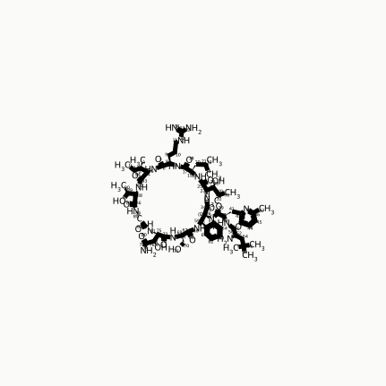 CC[C@H](C)[C@@H]1NC(=O)[C@@H](CCCNC(=N)N)NC(=O)[C@H](CC(C)C)NC(=O)[C@H]([C@H](O)C(C)C)NC(=O)[C@@H](NC(=O)[C@H](Cc2cccc(C)n2)NC(=O)[C@H](N)CC(C)(C)C)[C@@H](c2ccccc2)NC(=O)[C@H](CO)NC(=O)[C@H]([C@H](O)C(N)=O)NC(=O)CNC(=O)[C@H]([C@H](C)O)NC1=O